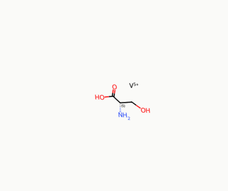 N[C@@H](CO)C(=O)O.[V+5]